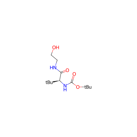 CC(C)(C)OC(=O)N[C@H](C(=O)NCCO)C(C)(C)C